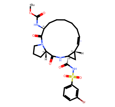 CC(C)(C)OC(=O)N[C@H]1CCCCC/C=C\[C@@H]2C[C@@]2(C(=O)NS(=O)(=O)c2cccc(Br)c2)NC(=O)[C@@H]2CCCN2C1=O